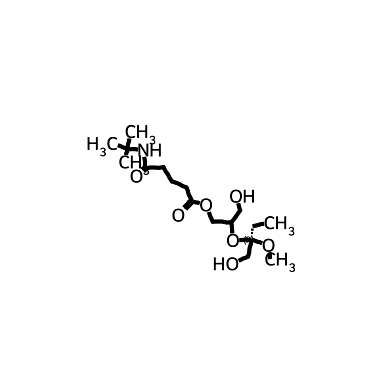 CC[C@@](CO)(OC)OC(CO)COC(=O)CCCC(=O)NC(C)(C)C